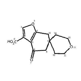 O=C(O)c1coc2c1C(=O)CC1(CCOCC1)C2